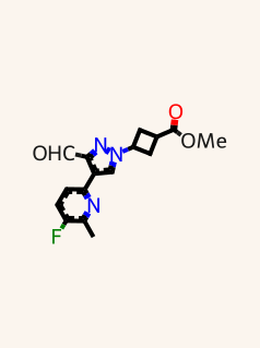 COC(=O)C1CC(n2cc(-c3ccc(F)c(C)n3)c(C=O)n2)C1